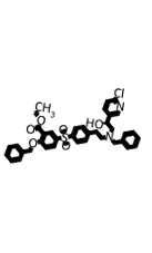 CCOC(=O)c1cc(S(=O)(=O)c2ccc(CCN(Cc3ccccc3)C[C@@H](O)c3ccc(Cl)nc3)cc2)ccc1OCc1ccccc1